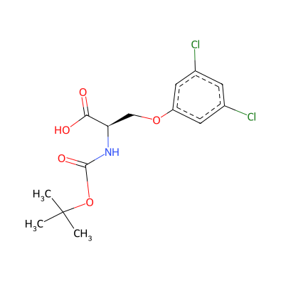 CC(C)(C)OC(=O)N[C@H](COc1cc(Cl)cc(Cl)c1)C(=O)O